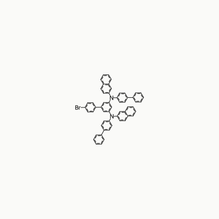 Brc1ccc(-c2cc(N(c3ccc(-c4ccccc4)cc3)c3ccc4ccccc4c3)cc(N(c3ccc(-c4ccccc4)cc3)c3ccc4ccccc4c3)c2)cc1